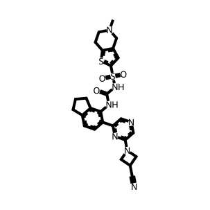 CN1CCc2sc(S(=O)(=O)NC(=O)Nc3c(-c4cncc(N5CC(C#N)C5)n4)ccc4c3CCC4)cc2C1